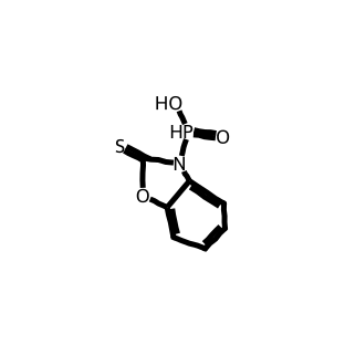 O=[PH](O)n1c(=S)oc2ccccc21